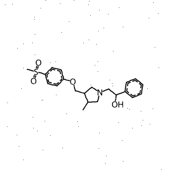 CC1CN(CC(O)c2ccccc2)CC1COc1ccc(S(C)(=O)=O)cc1